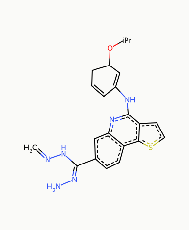 C=NN/C(=N\N)c1ccc2c(c1)nc(NC1=CC(OC(C)C)CC=C1)c1ccsc12